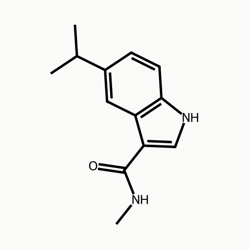 CNC(=O)c1c[nH]c2ccc(C(C)C)cc12